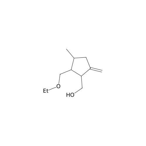 C=C1CC(C)C(COCC)C1CO